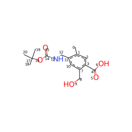 Cc1cc(C(=O)O)c(CO)cc1CNC(=O)OC(C)(C)C